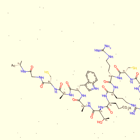 CC(=O)[C@H](C)NC(=O)CNC(=O)[C@H](CS)NC(=O)[C@H](C)NC(=O)[C@H](Cc1c[nH]c2ccccc12)NC(=O)[C@H](C)NC(=O)[C@@H](NC(=O)[C@H](CCC(=O)O)NC(=O)[C@H](CCCNC(=N)N)NC(=O)[C@H](CCCNC(=N)N)NC(=O)[C@H](CS)NC(=O)[C@H](C)NC(=O)CN)[C@@H](C)O